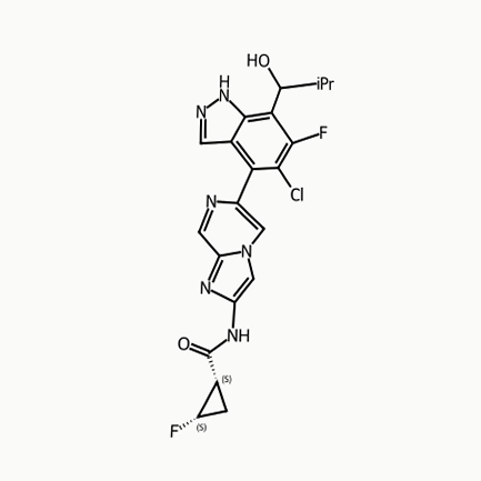 CC(C)C(O)c1c(F)c(Cl)c(-c2cn3cc(NC(=O)[C@@H]4C[C@@H]4F)nc3cn2)c2cn[nH]c12